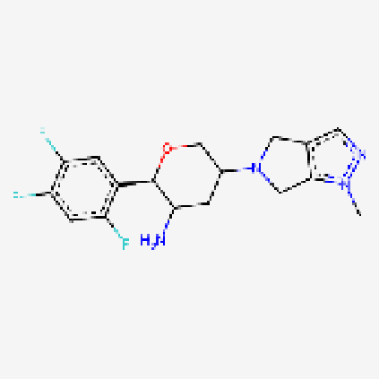 Cn1ncc2c1CN(C1CO[C@H](c3cc(F)c(F)cc3F)C(N)C1)C2